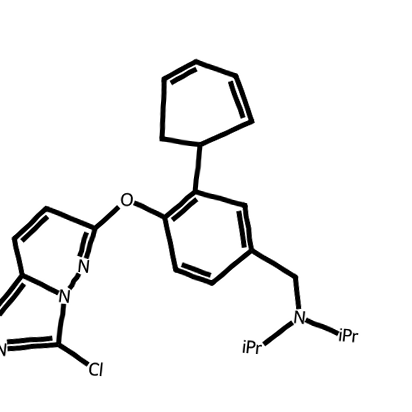 CC(C)N(Cc1ccc(Oc2ccc3nnc(Cl)n3n2)c(C2C=CC=CC2)c1)C(C)C